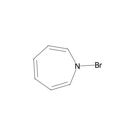 BrN1C=CC=CC=C1